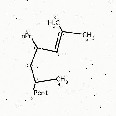 CCCC([CH]C(C)C(C)CCC)C=C(C)C